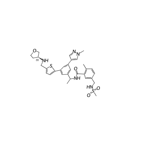 Cc1ccc(CNS(C)(=O)=O)cc1C(=O)NC(C)c1cc(-c2cnn(C)c2)cc(-c2ccc(CN[C@H]3CCOC3)s2)c1